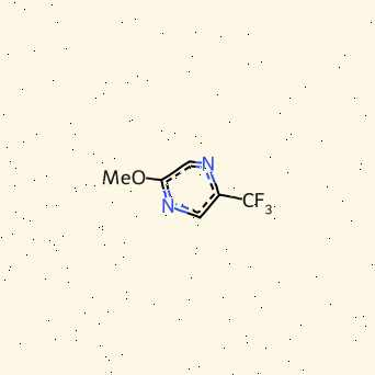 COc1cnc(C(F)(F)F)cn1